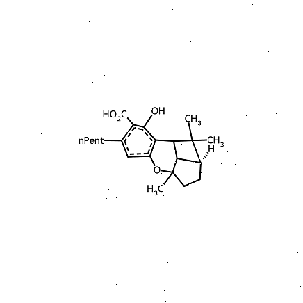 CCCCCc1cc2c(c(O)c1C(=O)O)C1C3[C@H](CCC3(C)O2)C1(C)C